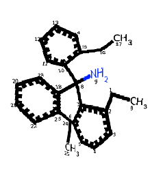 CCc1ccccc1C(N)(c1ccccc1CC)c1ccccc1CC